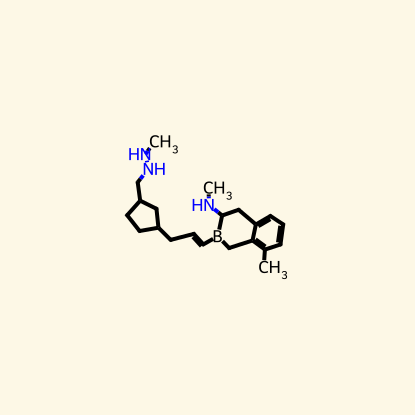 CNNCC1CCC(C/C=C/B2Cc3c(C)cccc3CC2NC)C1